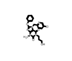 Cn1c(=O)n(CCCO)c(=O)c2c1nc(Oc1ccccc1)n2Cc1ccc(Cl)cn1